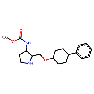 CC(C)(C)OC(=O)NC1CCNC1COC1CCC(c2ccccc2)CC1